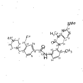 CCN1CCN(Cc2ccc(C(=O)Nc3ccc(C)c(N4Cc5cnc(NC)nc5N(C)C4=O)c3)cc2CF)CC1